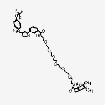 O=C(NCCOCCOCCOCCOCCOCCOCCNC(=O)C1CC2[C@H]1[C@@H](O)[C@H]2O)c1cccc(-c2cc(Nc3ccc(OC(F)(F)F)cc3)ncn2)c1